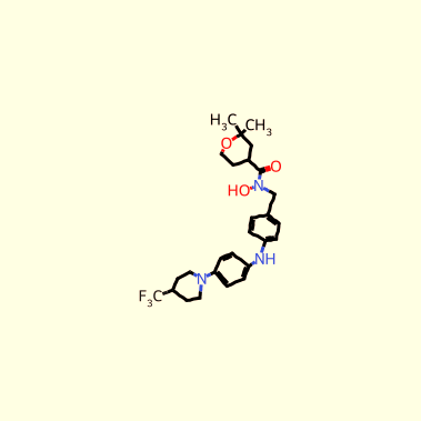 CC1(C)CC(C(=O)N(O)Cc2ccc(Nc3ccc(N4CCC(C(F)(F)F)CC4)cc3)cc2)CCO1